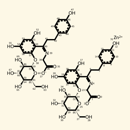 O=C([O-])CN=C(CCc1ccc(O)cc1)c1c(O)cc(O)cc1O[C@@H]1O[C@H](CO)[C@@H](O)[C@H](O)[C@H]1O.O=C([O-])CN=C(CCc1ccc(O)cc1)c1c(O)cc(O)cc1O[C@@H]1O[C@H](CO)[C@@H](O)[C@H](O)[C@H]1O.[Zn+2]